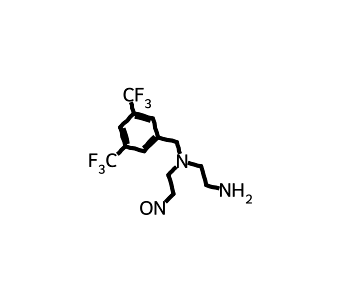 NCCN(CCN=O)Cc1cc(C(F)(F)F)cc(C(F)(F)F)c1